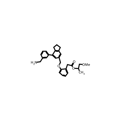 COCC(C)OC(=O)Cc1ccccc1OCc1cc2c(c(-c3cccc(CN)c3)c1)CCC2